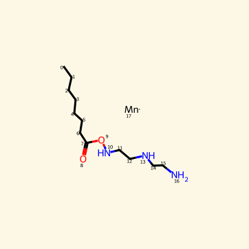 CCCCCCCC(=O)ONCCNCCN.[Mn]